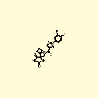 O=C1NC(=O)C(CNC(=O)c2cnn(-c3ccc(Cl)c(F)c3)n2)(C2CCC2)N1